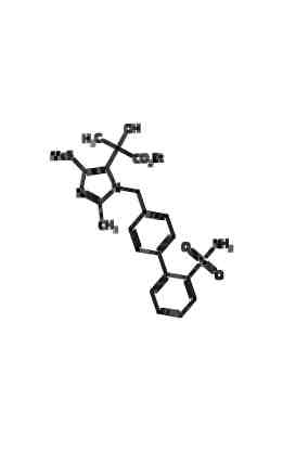 CCOC(=O)C(C)(O)c1c(SC)nc(C)n1Cc1ccc(-c2ccccc2S(N)(=O)=O)cc1